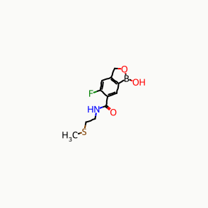 CSCCNC(=O)c1cc2c(cc1F)COB2O